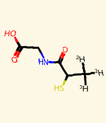 [2H]C([2H])([2H])C(S)C(=O)NCC(=O)O